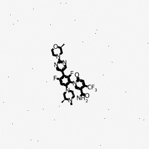 C[C@H]1CN(c2ncc(-c3c(F)cc(N4CCN(C)[C@@H](C)C4)c(-n4cc(C(N)=O)c(C(F)(F)F)cc4=O)c3F)cn2)CCO1